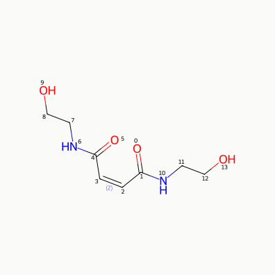 O=C(/C=C\C(=O)NCCO)NCCO